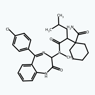 CC(C)CC(C(=O)N(C)C1N=C(c2ccc(Cl)cc2)c2ccccc2NC1=O)C1(C(N)=O)CCCCC1